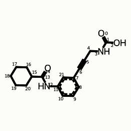 O=C(O)NCC#Cc1cccc(NC(=O)C2CCCCC2)c1